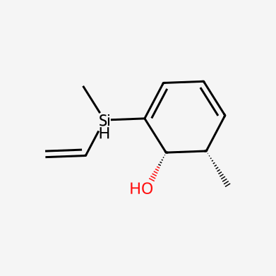 C=C[SiH](C)C1=CC=C[C@H](C)[C@@H]1O